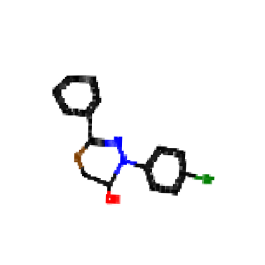 OC1CSC(c2ccccc2)=NN1c1ccc(Br)cc1